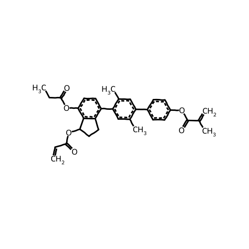 C=CC(=O)OC1CCc2c(-c3cc(C)c(-c4ccc(OC(=O)C(=C)C)cc4)cc3C)ccc(OC(=O)CC)c21